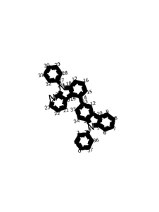 c1ccc(-n2c3ccccc3c3cc(-c4cccc5c4c4cccnc4n5-c4ccccc4)ccc32)cc1